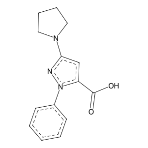 O=C(O)c1cc(N2CCCC2)nn1-c1ccccc1